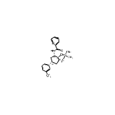 CC(C)(C)[Si](C)(C)O[C@H]1CC[C@H](c2cccc(C(F)(F)F)c2)C[C@@H]1NC(=O)c1ccccn1